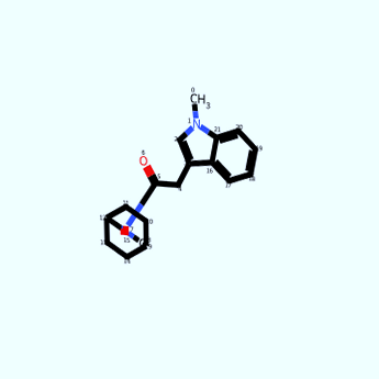 Cn1cc(CC(=O)N2CC3CCC(CC3)C2)c2ccccc21